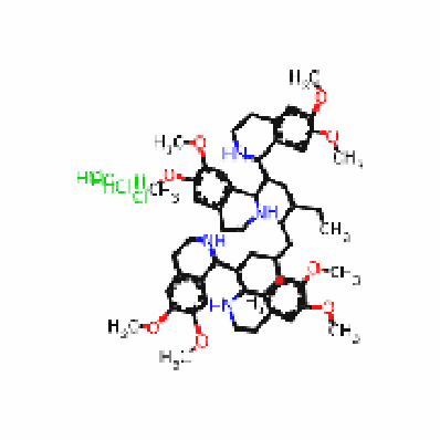 CCC(CCC(CC)CC(C1NCCc2cc(OC)c(OC)cc21)C1NCCc2cc(OC)c(OC)cc21)CC(C1NCCc2cc(OC)c(OC)cc21)C1NCCc2cc(OC)c(OC)cc21.Cl.Cl.Cl.Cl